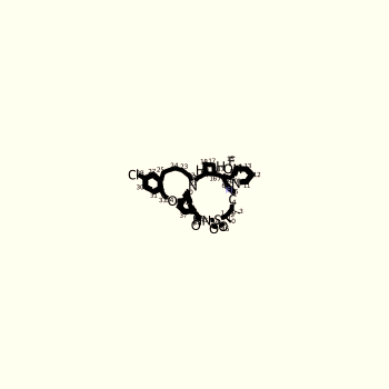 C[C@@H]1[C@@H](C)C/C=C/[C@@](O)(c2ncccc2F)[C@@H]2CC[C@H]2CN2CCCCc3cc(Cl)ccc3COc3ccc(cc32)C(=O)NS1(=O)=O